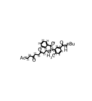 CCCCNC(=O)c1ccc(C)c(N(OCCC(=O)CCC(=O)CCC(C)=O)C(=O)c2ccccc2)c1